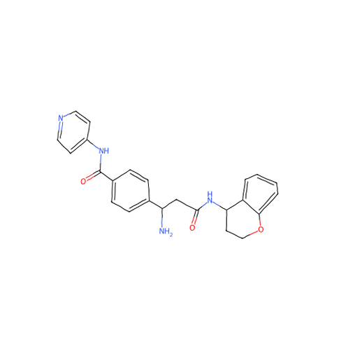 NC(CC(=O)NC1CCOc2ccccc21)c1ccc(C(=O)Nc2ccncc2)cc1